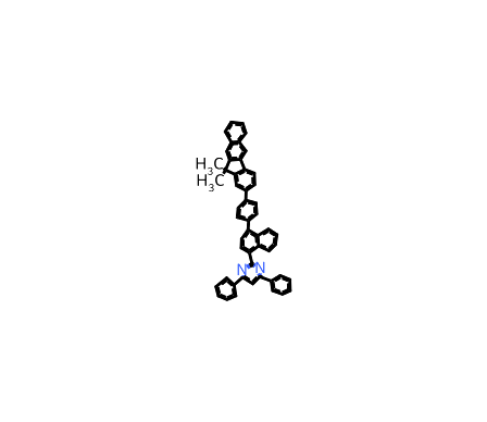 CC1(C)c2cc(-c3ccc(-c4ccc(-c5nc(-c6ccccc6)cc(-c6ccccc6)n5)c5ccccc45)cc3)ccc2-c2cc3ccccc3cc21